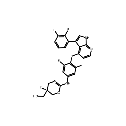 OC[C@]1(F)CN=C(Nc2cc(F)c(Oc3ccnc4[nH]cc(-c5cccc(F)c5F)c34)c(F)c2)OC1